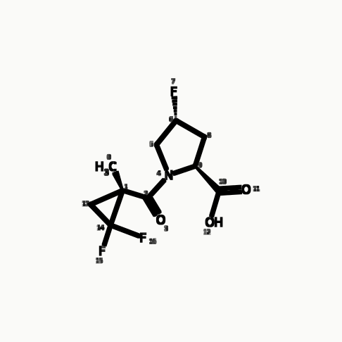 C[C@]1(C(=O)N2C[C@H](F)C[C@H]2C(=O)O)CC1(F)F